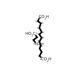 CCCCCCCCCCCCC(=O)O.O=C(O)CCCCCCCCCCCC(=O)O